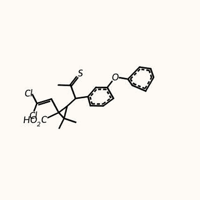 CC(=S)C(c1cccc(Oc2ccccc2)c1)C1C(C)(C)C1(C=C(Cl)Cl)C(=O)O